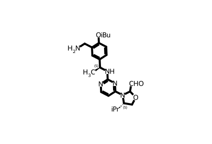 CC(C)COc1ccc([C@H](C)Nc2nccc(N3C(C=O)OC[C@@H]3C(C)C)n2)cc1CN